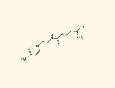 CN(C)C/C=C/C(=O)NCCc1ccc(N)cc1